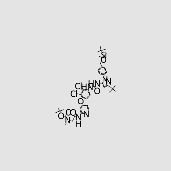 CN(CC(=O)Nc1cc(Oc2ccc(NC(=O)Nc3cc(C(C)(C)C)nn3-c3ccc(CO[Si](C)(C)C(C)(C)C)cc3)c(Cl)c2Cl)ccn1)C(=O)OC(C)(C)C